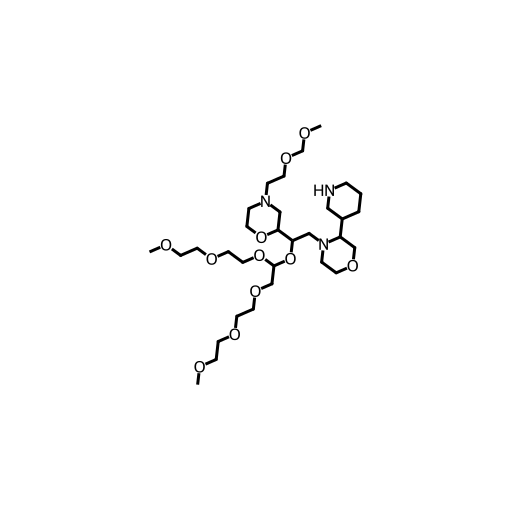 COCCOCCOCC(OCCOCCOC)OC(CN1CCOCC1C1CCCNC1)C1CN(CCOCOC)CCO1